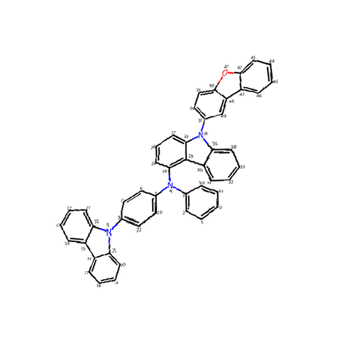 c1ccc(N(c2ccc(-n3c4ccccc4c4ccccc43)cc2)c2cccc3c2c2ccccc2n3-c2ccc3oc4ccccc4c3c2)cc1